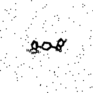 CCCOc1c(C)[c]ccc1N1CCC(c2noc3cc(F)ccc23)CC1